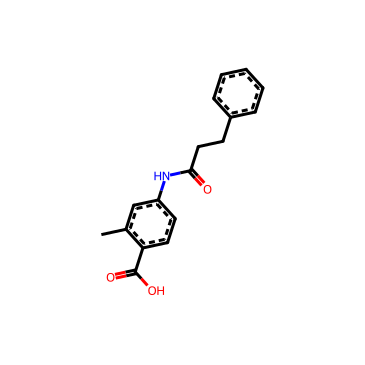 Cc1cc(NC(=O)CCc2ccccc2)ccc1C(=O)O